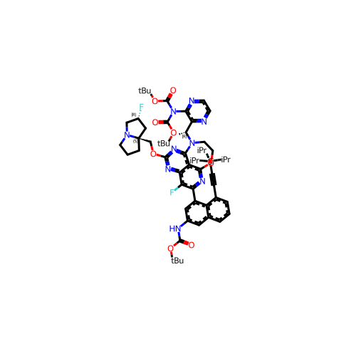 CC(C)[Si](C#Cc1cccc2cc(NC(=O)OC(C)(C)C)cc(-c3nc4c5c(nc(OC[C@@]67CCCN6C[C@H](F)C7)nc5c3F)N([C@H](C)c3nccnc3N(C(=O)OC(C)(C)C)C(=O)OC(C)(C)C)CCO4)c12)(C(C)C)C(C)C